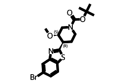 CO[C@@H]1CN(C(=O)OC(C)(C)C)CC[C@H]1c1nc2cc(Br)ccc2s1